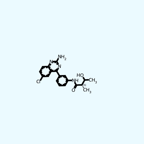 CC(O)[C@H](C)C(=O)Nc1cccc(-c2nc(N)nc3ccc(Cl)cc23)c1